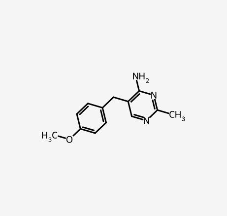 COc1ccc(Cc2cnc(C)nc2N)cc1